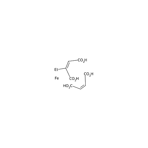 CC/C(=C/C(=O)O)C(=O)O.O=C(O)/C=C\C(=O)O.[Fe]